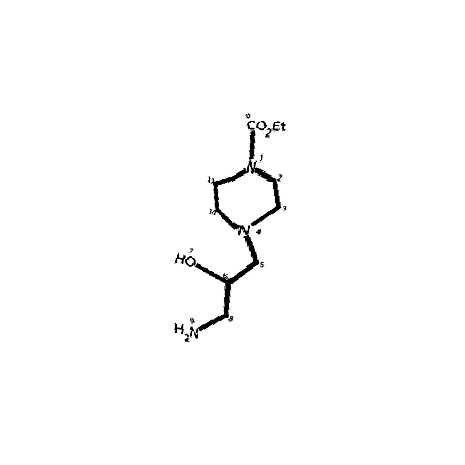 CCOC(=O)N1CCN(CC(O)CN)CC1